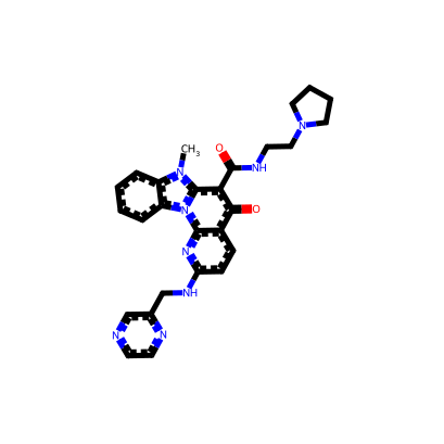 Cn1c2ccccc2n2c3nc(NCc4cnccn4)ccc3c(=O)c(C(=O)NCCN3CCCC3)c12